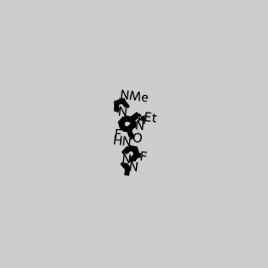 CCn1cc2c(N3CC[C@@H](NC)C3)cc(F)c(C(=O)Nc3cc(F)c4nc(C)cn4c3)c2n1